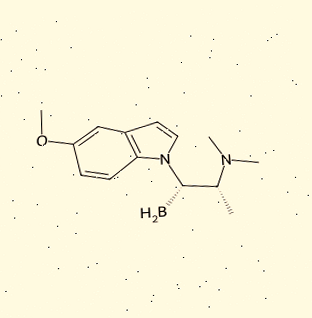 B[C@@H]([C@@H](C)N(C)C)n1ccc2cc(OC)ccc21